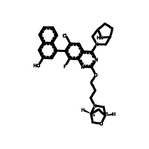 Oc1cc(-c2c(Cl)cc3c(N4CC5CCC(C4)N5)nc(OCCCN4C[C@@H]5C[C@H]4CO5)nc3c2F)c2ccccc2c1